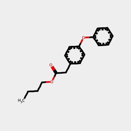 CCCCOC(=O)Cc1ccc(Oc2ccccc2)cc1